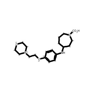 O=C(O)N1CCCC(Nc2ccc(OCCN3CCOCC3)cc2)CC1